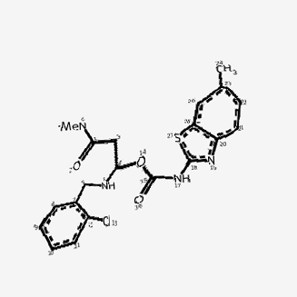 C[N]C(=O)CC(NCc1ccccc1Cl)OC(=O)Nc1nc2ccc(C)cc2s1